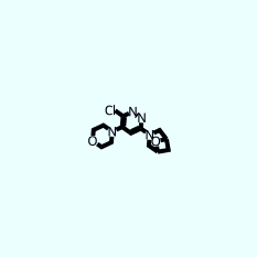 Clc1nnc(N2CC3CC(C2)O3)cc1N1CCOCC1